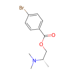 C[C@@H](COC(=O)c1ccc(Br)cc1)N(C)C